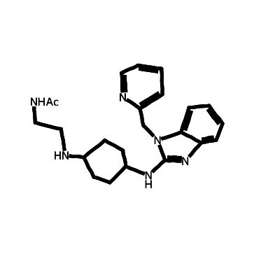 CC(=O)NCCNC1CCC(Nc2nc3ccccc3n2Cc2ccccn2)CC1